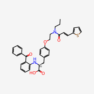 CCCN(CCOc1ccc(C[C@H](Nc2ccccc2C(=O)c2ccccc2)C(=O)O)cc1)C(=O)C=Cc1cccs1